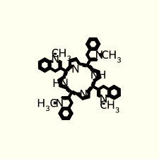 CN1C=C(c2c3nc(c(C4=CN(C)c5ccccc5C4)c4ccc([nH]4)c(C4=CN(C)c5ccccc5C4)c4nc(c(C5=CN(C)c6ccccc6C5)c5ccc2[nH]5)C=C4)C=C3)Cc2ccccc21